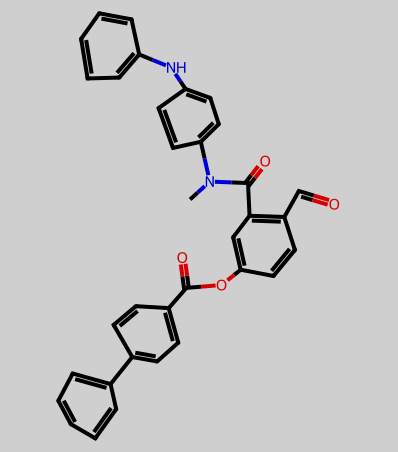 CN(C(=O)c1cc(OC(=O)c2ccc(-c3ccccc3)cc2)ccc1C=O)c1ccc(Nc2ccccc2)cc1